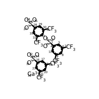 O=S(=O)([O-])c1cc(C(F)(F)F)cc(C(F)(F)F)c1.O=S(=O)([O-])c1cc(C(F)(F)F)cc(C(F)(F)F)c1.O=S(=O)([O-])c1cc(C(F)(F)F)cc(C(F)(F)F)c1.[Ga+3]